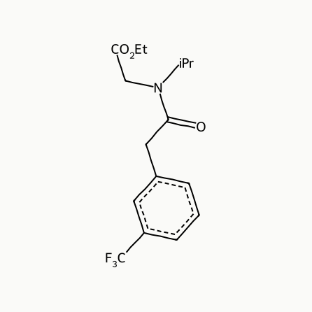 CCOC(=O)CN(C(=O)Cc1cccc(C(F)(F)F)c1)C(C)C